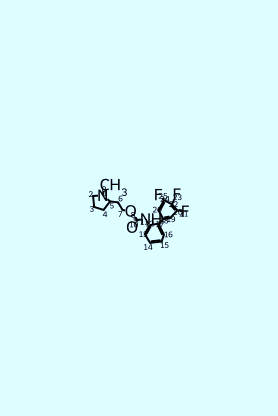 CN1CCCC1CCOC(=O)Nc1ccccc1-c1cc(F)c(F)c(F)c1